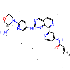 C=CC(=O)Nc1ccnc(-c2nccc3cnc(Nc4ccc(N5CCOC[C@H]5CN)nc4)nc23)c1